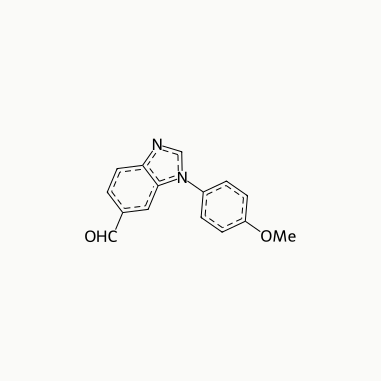 COc1ccc(-n2cnc3ccc(C=O)cc32)cc1